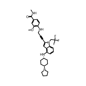 CNC(=O)c1ccc(NCC#Cc2cc3c(N[C@H]4CC[C@H](N5CCCC5)CC4)cccc3n2CC(F)(F)F)c(OC)c1